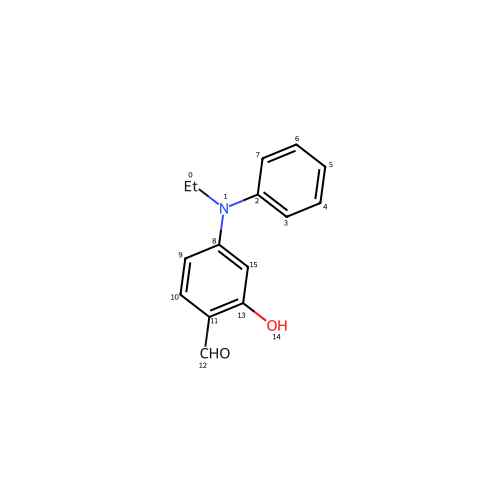 CCN(c1ccccc1)c1ccc(C=O)c(O)c1